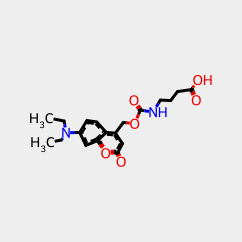 CCN(CC)c1ccc2c(COC(=O)NCCCC(=O)O)cc(=O)oc2c1